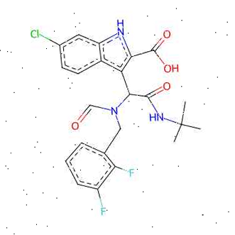 CC(C)(C)NC(=O)C(c1c(C(=O)O)[nH]c2cc(Cl)ccc12)N(C=O)Cc1cccc(F)c1F